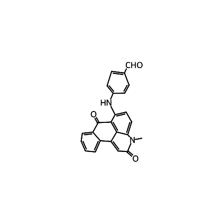 Cn1c(=O)cc2c3c(c(Nc4ccc(C=O)cc4)ccc31)C(=O)c1ccccc1-2